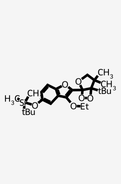 CCOc1c(C23OCC(C)(C)C2(C(C)(C)C)OO3)oc2ccc(O[Si](C)(C)C(C)(C)C)cc12